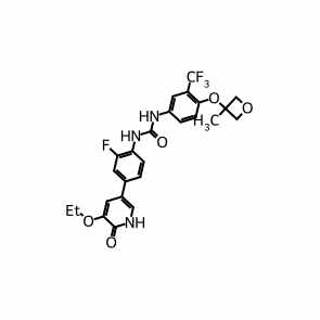 CCOc1cc(-c2ccc(NC(=O)Nc3ccc(OC4(C)COC4)c(C(F)(F)F)c3)c(F)c2)c[nH]c1=O